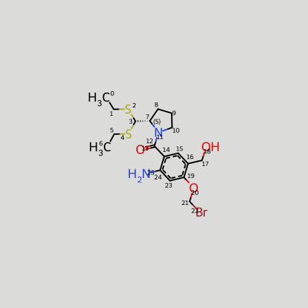 CCSC(SCC)[C@@H]1CCCN1C(=O)c1cc(CO)c(OCBr)cc1N